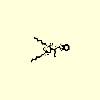 CCCCCCNC(=O)CC(C(=O)NCCCCCC)C(CCC)Sc1nc2ccccc2s1